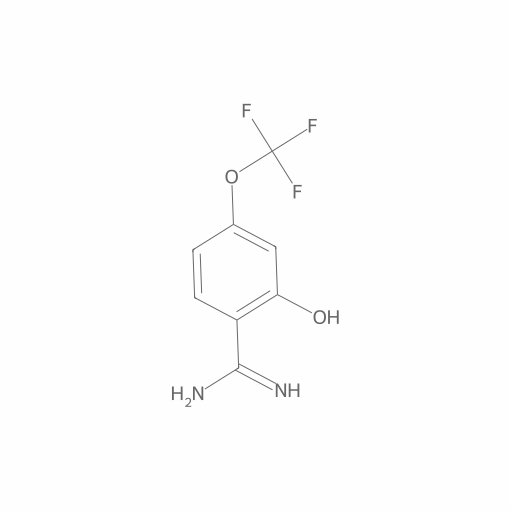 N=C(N)c1ccc(OC(F)(F)F)cc1O